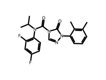 Cc1cccc(-n2ncn(C(=O)N(c3ccc(F)cc3F)C(C)C)c2=O)c1C